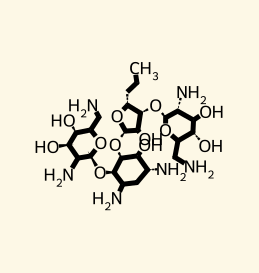 CCC[C@H]1O[C@@H](O[C@@H]2C(O)[C@H](N)CC(N)[C@H]2O[C@@H]2OC(CN)[C@@H](O)[C@H](O)C2N)C(O)[C@H]1O[C@H]1OC(CN)[C@@H](O)C(O)[C@H]1N